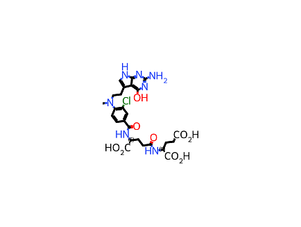 CN(CCc1c[nH]c2nc(N)nc(O)c12)c1ccc(C(=O)N[C@@H](CCC(=O)N[C@@H](CCC(=O)O)C(=O)O)C(=O)O)cc1Cl